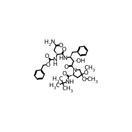 COC1(OC)C[C@@H](C(=O)NC(C)(C)C)N(C(=O)[C@@H](O)[C@H](Cc2ccccc2)NC(=O)[C@H](CC(N)=O)NC(=O)OCc2ccccc2)C1